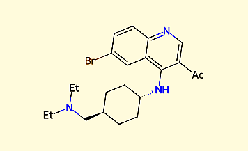 CCN(CC)C[C@H]1CC[C@H](Nc2c(C(C)=O)cnc3ccc(Br)cc23)CC1